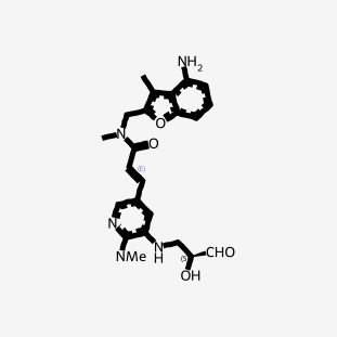 CNc1ncc(/C=C/C(=O)N(C)Cc2oc3cccc(N)c3c2C)cc1NC[C@H](O)C=O